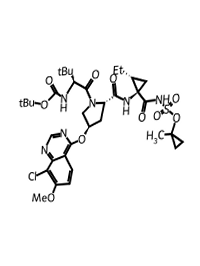 CC[C@@H]1C[C@]1(NC(=O)[C@@H]1C[C@@H](Oc2ncnc3c(Cl)c(OC)ccc23)CN1C(=O)[C@@H](NC(=O)OC(C)(C)C)C(C)(C)C)C(=O)NS(=O)(=O)OC1(C)CC1